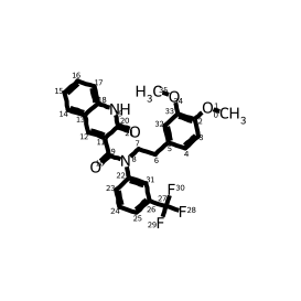 COc1ccc(CCN(C(=O)c2cc3ccccc3[nH]c2=O)c2cccc(C(F)(F)F)c2)cc1OC